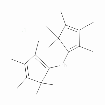 CC1=C(C)C(C)(C)[C]([Yb+][C]2=C(C)C(C)=C(C)C2(C)C)=C1C.[Cl-]